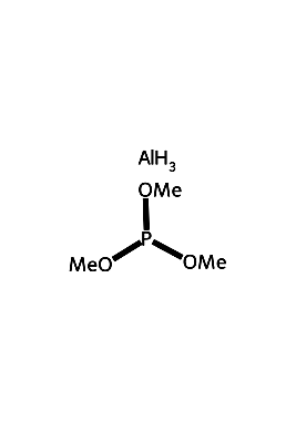 COP(OC)OC.[AlH3]